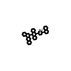 c1ccc2cc3c(cc2c1)c(-c1c2ccccc2c(-c2ccc(-c4cccc5ccccc45)nc2)c2ccccc12)cc1ccccc13